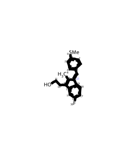 CSc1ccc(/C=C2\C(C)=C(CCO)c3cc(F)ccc32)cc1